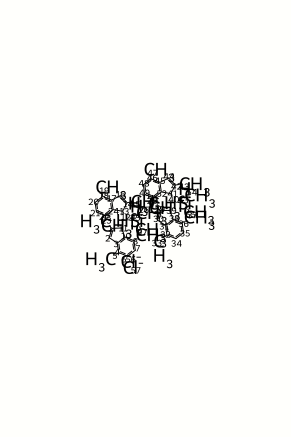 CC1=Cc2c(C)ccc(C)c2[CH]1[Hf+]([CH]1C(C)=Cc2c(C)ccc(C)c21)[SiH](C)C.CC1=Cc2c(C)ccc(C)c2[CH]1[Hf+]([CH]1C(C)=Cc2c(C)ccc(C)c21)[SiH](C)C.[Cl-].[Cl-]